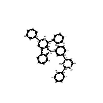 c1ccc(-c2cc3c4ccccc4n(-c4cccc(-c5ccnc(-c6ccccn6)n5)c4)c3c(-c3ccccc3)n2)cc1